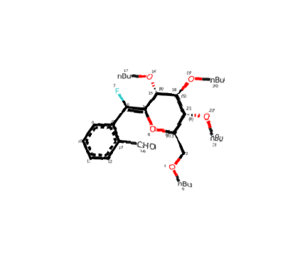 CCCCOC[C@H]1OC(=C(F)c2ccccc2C=O)[C@H](OCCCC)[C@@H](OCCCC)[C@@H]1OCCCC